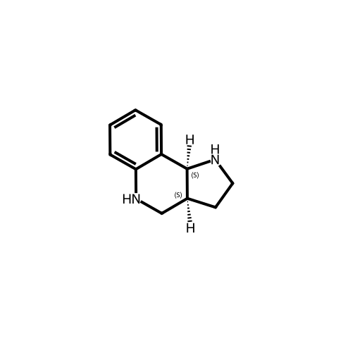 c1ccc2c(c1)NC[C@@H]1CCN[C@H]21